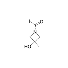 CC1(O)CN(C(=O)I)C1